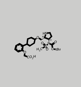 CC(C)(C)OC(=O)N([C@H]1CCN[C@H]1COC1CCC(c2ccccc2OCC(=O)O)CC1)S(C)(=O)=O